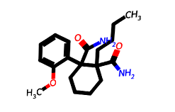 CCCCC1(C(N)=O)CCCCC1(C(N)=O)c1ccccc1OC